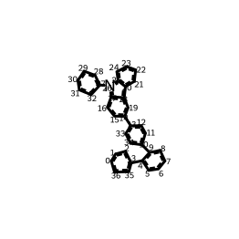 c1ccc(-c2ccccc2-c2ccc(-c3ccc4c(c3)c3ccccc3n4-c3ccccc3)cc2)cc1